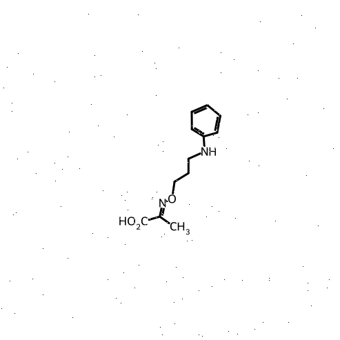 CC(=NOCCCNc1ccccc1)C(=O)O